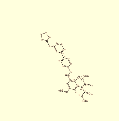 CCCCOc1cc(NCc2ccc(-c3cccc(CN4CCCC4)c3)cc2)c([N+](=O)[O-])c(N(C(=O)OC(C)(C)C)C(=O)OC(C)(C)C)n1